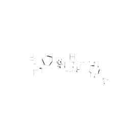 O=S(=O)(c1ccc(Br)c(C(F)(F)F)c1)N1CCN2C[C@H](Oc3cnc(C4CC4)cn3)C[C@H]2C1